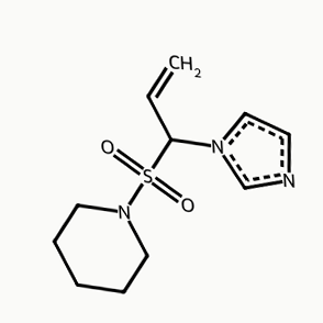 C=CC(n1ccnc1)S(=O)(=O)N1CCCCC1